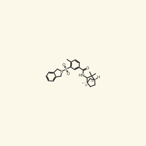 Cc1ccc(C(=O)NC2C(C)(C)[C@@H]3CC[C@]2(C)C3)cc1S(=O)(=O)N1Cc2ccccc2C1